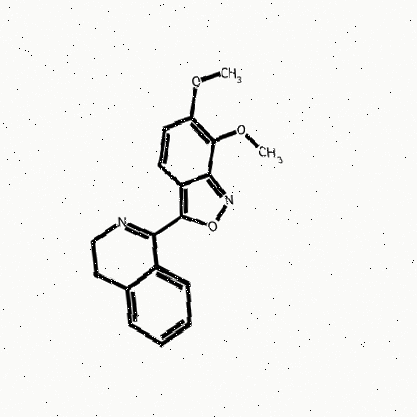 COc1ccc2c(C3=NCCc4ccccc43)onc2c1OC